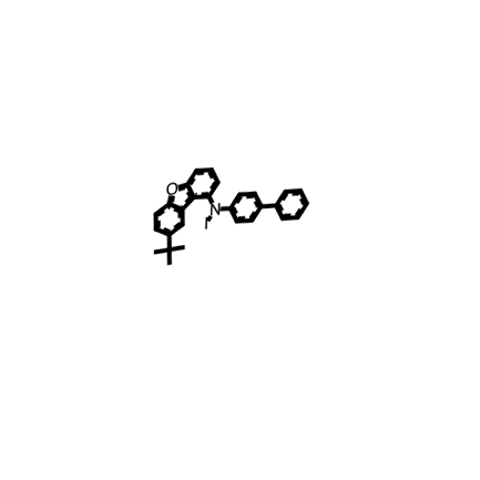 CC(C)(C)c1ccc2oc3cccc(N(I)c4ccc(-c5ccccc5)cc4)c3c2c1